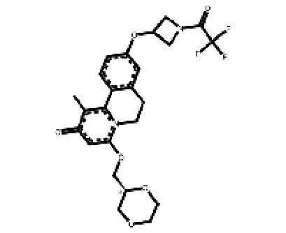 Cc1c2n(c(OC[C@@H]3COCCO3)cc1=O)CCc1cc(OC3CN(C(=O)C(F)(F)F)C3)ccc1-2